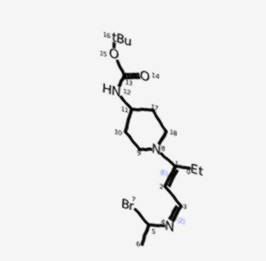 CC/C(=C\C=N/C(C)Br)N1CCC(NC(=O)OC(C)(C)C)CC1